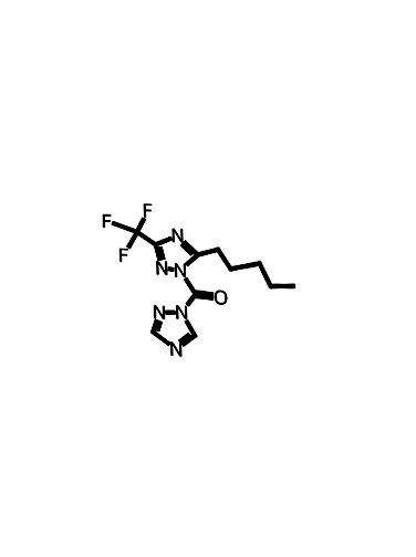 CCCCCc1nc(C(F)(F)F)nn1C(=O)n1cncn1